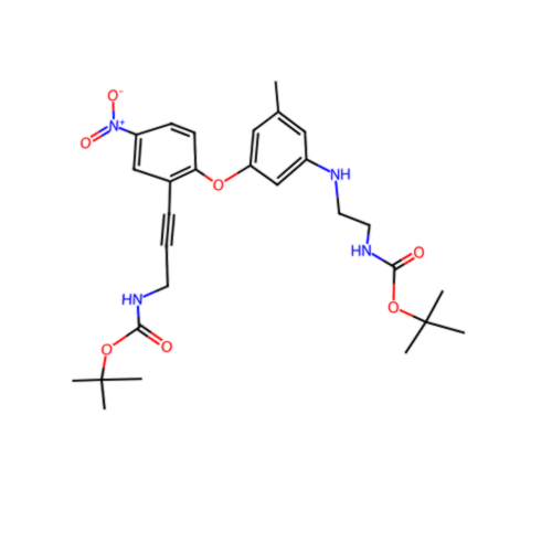 Cc1cc(NCCNC(=O)OC(C)(C)C)cc(Oc2ccc([N+](=O)[O-])cc2C#CCNC(=O)OC(C)(C)C)c1